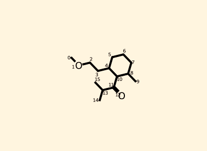 COCCC1CCCC(C)C1C(=O)C(C)C